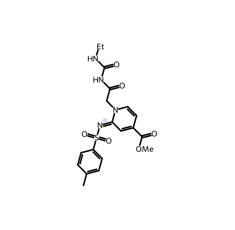 CCNC(=O)NC(=O)Cn1ccc(C(=O)OC)c/c1=N\S(=O)(=O)c1ccc(C)cc1